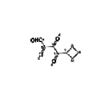 O=[C]C(=O)C(=O)C(=O)C1CCC1